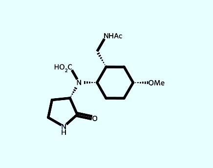 CO[C@@H]1CC[C@H](N(C(=O)O)[C@H]2CCNC2=O)[C@H](CNC(C)=O)C1